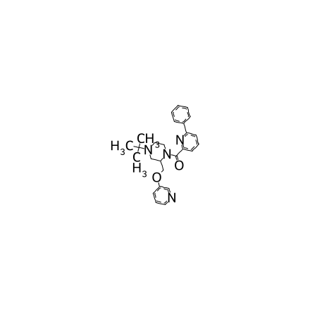 CC(C)(C)N1CCN(C(=O)c2cccc(-c3ccccc3)n2)C(COc2cccnc2)C1